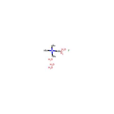 CCCC[N+](CCCC)(CCCC)CCCC.O.O.O.O.O.[F-]